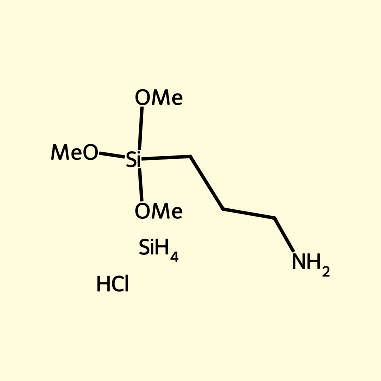 CO[Si](CCCN)(OC)OC.Cl.[SiH4]